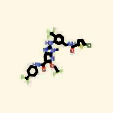 Cn1c(Nc2cc(CNC(=O)c3ccc(Cl)s3)ccc2C(F)(F)F)nc2cc(C(=O)N[C@H]3CC[C@H](C(F)F)CC3)c(OCC(F)F)nc21